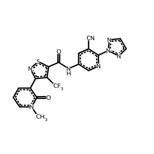 Cn1cccc(-c2nsc(C(=O)Nc3cnc(-n4nccn4)c(C#N)c3)c2C(F)(F)F)c1=O